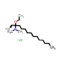 C=CC(CCCCCCCCCCCC)(OCC)N(C)C.Cl